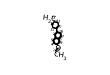 CCOc1ccc2cc(C3=CCC(C)CC3)ccc2c1